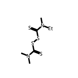 CCN(C)C(=S)SSC(=S)N(C)C